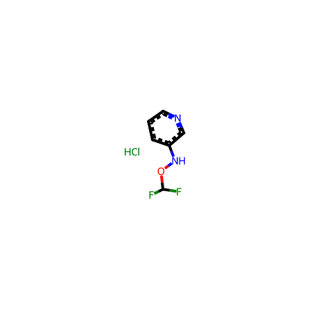 Cl.FC(F)ONc1cccnc1